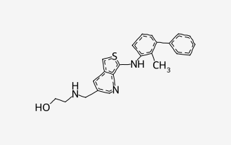 Cc1c(Nc2scc3cc(CNCCO)cnc23)cccc1-c1ccccc1